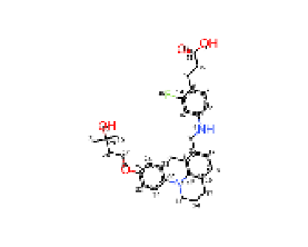 Cc1c(CNc2ccc(CCC(=O)O)c(F)c2)ccc2c1N(c1ccc(OCCC(C)(C)O)cc1)CCC2